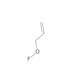 C=CCOF